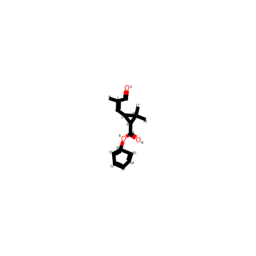 CC(C=O)=CC1C(C(=O)Oc2ccccc2)C1(C)C